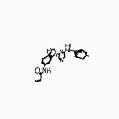 C=CC(=O)Nc1ccc2ncn(-c3cncc(Nc4ccc(C)cc4)n3)c2c1